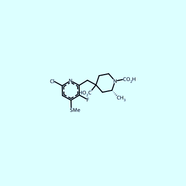 CSc1cc(Cl)nc(CC2(C(=O)O)CCN(C(=O)O)[C@H](C)C2)c1F